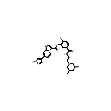 CC1CC(C)CN(CCNC(=O)c2ccc(F)c(NC(=O)c3cnc4cc(-c5cnn(C)c5)ccn34)c2)C1